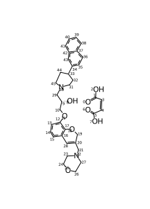 O=C(O)/C=C\C(=O)O.O[C@H](COc1cccc2c1OCC(CN1CCOCC1)=C2)CN1CCC(c2ccc3ccccc3c2)CC1